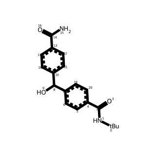 CC(C)(C)NC(=O)c1ccc(C(O)c2ccc(C(N)=O)cc2)cc1